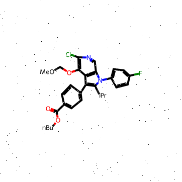 CCCCOC(=O)c1ccc(-c2c(C(C)C)n(-c3ccc(F)cc3)c3cnc(Cl)c(OCOC)c23)cc1